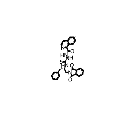 O=C(NNC(=S)N[C@@H](Cc1ccccc1)CN1C(=O)c2ccccc2C1=O)c1nccc2c[c]ccc12